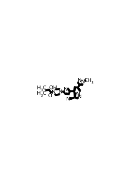 CC(C)[C@H](O)C(=O)N1CCN(c2ccc(-c3cc(-c4cnn(C)c4)cn4ncc(C#N)c34)cn2)CC1